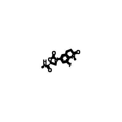 CNC(=O)[C@H]1CN(c2cc(F)c3c(c2)CCC(=O)N3C)C(=O)O1